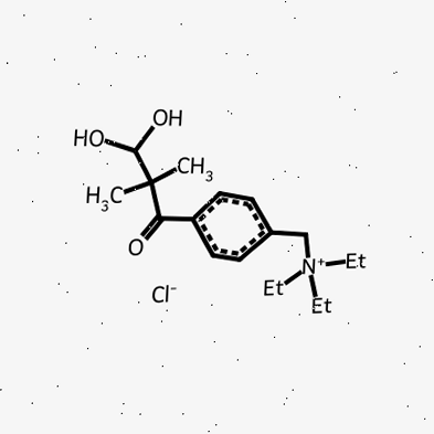 CC[N+](CC)(CC)Cc1ccc(C(=O)C(C)(C)C(O)O)cc1.[Cl-]